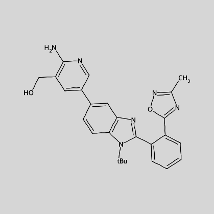 Cc1noc(-c2ccccc2-c2nc3cc(-c4cnc(N)c(CO)c4)ccc3n2C(C)(C)C)n1